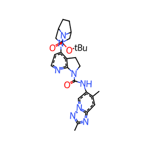 Cc1nc2cc(C)c(NC(=O)N3CCc4c(N5CC6CCC(C5)N6C(=O)OC(C)(C)C)ccnc43)cn2n1